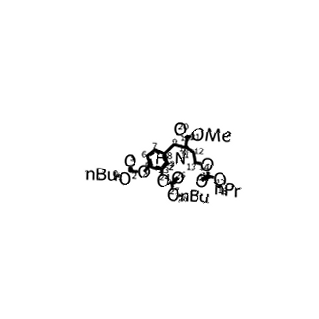 CCCCOC(=O)Oc1ccc(C[C@](N)(CCOC(=O)OCCC)C(=O)OC)cc1OC(=O)OCCCC